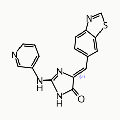 O=C1NC(Nc2cccnc2)=N/C1=C\c1ccc2ncsc2c1